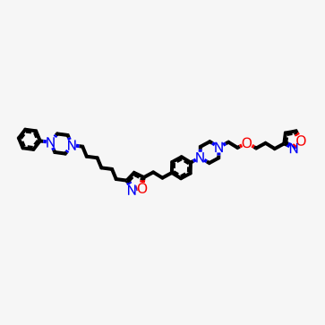 c1ccc(N2CCN(CCCCCCc3cc(CCc4ccc(N5CCN(CCOCCCc6ccon6)CC5)cc4)on3)CC2)cc1